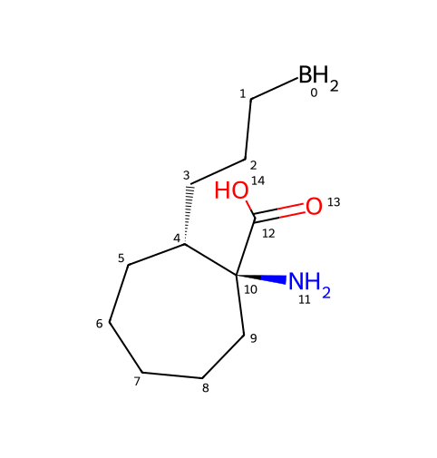 BCCC[C@H]1CCCCC[C@@]1(N)C(=O)O